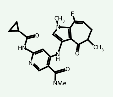 CNC(=O)c1cnc(NC(=O)C2CC2)cc1Nc1cn(C)c2c1C(=O)C(C)CC=C2F